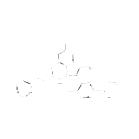 CO[C@@H](C)c1ncc(N2CCOCC2)cc1-c1c(C=O)c2cc(Br)cc3c2n1CC(OCc1ccccc1)C3